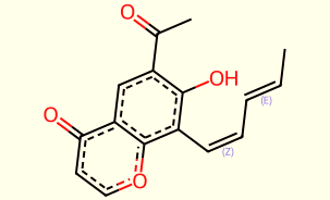 C/C=C/C=C\c1c(O)c(C(C)=O)cc2c(=O)ccoc12